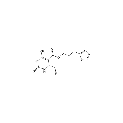 CC1=C(C(=O)OCCCc2cccs2)C(CF)NC(=S)N1